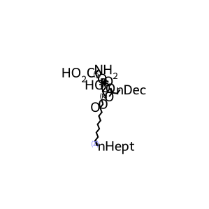 CCCCCCC/C=C\CCCCCCCC(=O)OC[C@H](COP(=O)(O)OC[C@H](N)C(=O)O)OC(=O)CCCCCCCCCCC